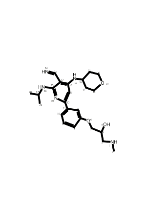 CNCC(O)COc1cccc(-c2cc(NC3CCOCC3)c(C=N)c(NC(C)C)n2)c1